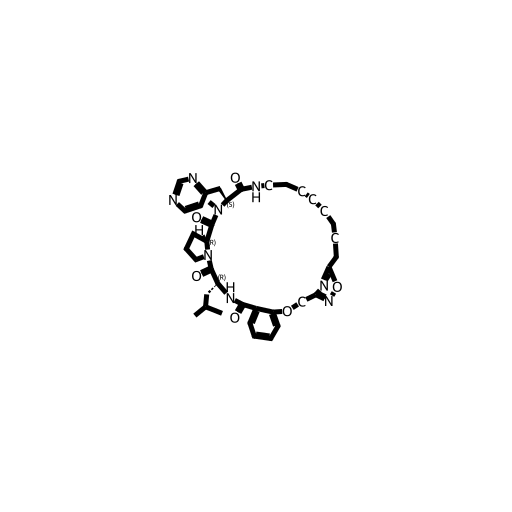 CC(C)C[C@H]1NC(=O)c2ccccc2OCc2noc(n2)CCCCCCCCNC(=O)[C@H](Cc2ccncn2)N(C)C(=O)[C@H]2CCCN2C1=O